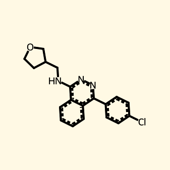 Clc1ccc(-c2nnc(NCC3CCOC3)c3ccccc23)cc1